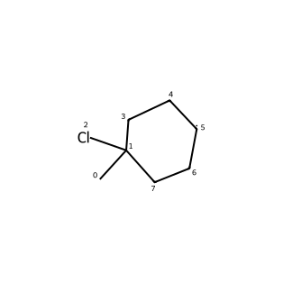 CC1(Cl)CC[CH]CC1